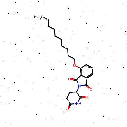 O=C(O)CCCCCCCCCOc1cccc2c1C(=O)N(C1CCC(=O)NC1=O)C2=O